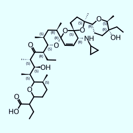 CCC(C(=O)O)C1CC[C@H](C)C([C@@H](C)[C@H](O)[C@H](C)C(=O)[C@H](CC)[C@H]2O[C@]3(C=C[C@@H](NC4CC4)[C@]4(CC[C@@](C)([C@H]5CC[C@](O)(CC)[C@H](C)O5)O4)O3)[C@H](C)C[C@@H]2C)O1